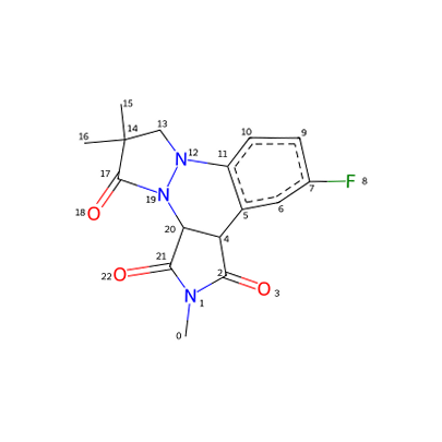 CN1C(=O)C2c3cc(F)ccc3N3CC(C)(C)C(=O)N3C2C1=O